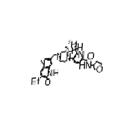 [2H]C([2H])([2H])c1nc(C(=O)N[C@@H]2CCOC2)ccc1N1CCN(Cc2cnc3cc(CC)c(=O)[nH]c3c2)CC1